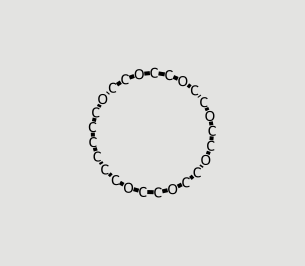 C1CCCOCCOCCOCCOCCOCCOCCOCC1